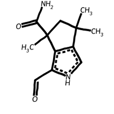 CC1(C)CC(C)(C(N)=O)c2c1c[nH]c2C=O